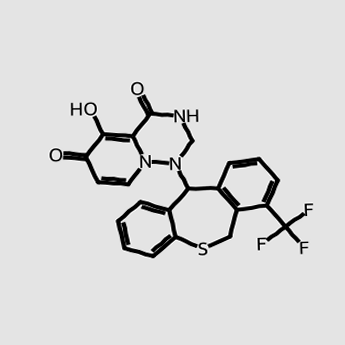 O=C1NCN(C2c3ccccc3SCc3c2cccc3C(F)(F)F)n2ccc(=O)c(O)c21